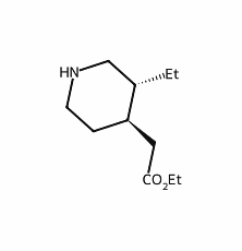 CCOC(=O)C[C@H]1CCNC[C@@H]1CC